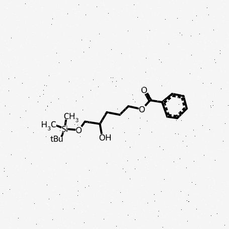 CC(C)(C)[Si](C)(C)OCC(O)CCCOC(=O)c1ccccc1